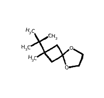 CC(C)(C)C1(C)CC2(C1)OCCO2